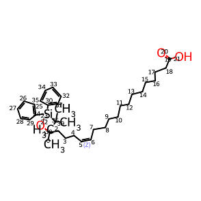 CC(CCC/C=C\CCCCCCCCCCCCC(=O)O)O[Si](c1ccccc1)(c1ccccc1)C(C)(C)C